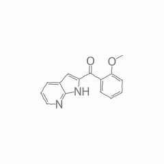 COc1ccccc1C(=O)c1cc2cccnc2[nH]1